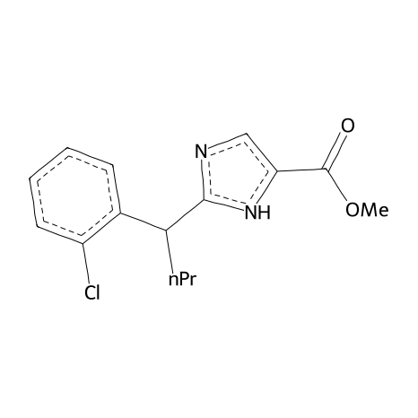 CCCC(c1ncc(C(=O)OC)[nH]1)c1ccccc1Cl